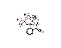 C=Cc1ccccc1[Si]1(C)CC(C)(C)O[Si](C)(C)[Si]1(C)C